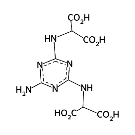 Nc1nc(NC(C(=O)O)C(=O)O)nc(NC(C(=O)O)C(=O)O)n1